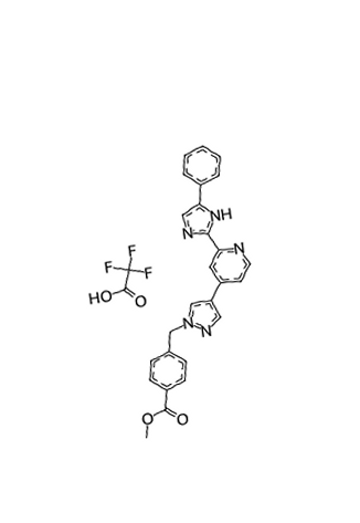 COC(=O)c1ccc(Cn2cc(-c3ccnc(-c4ncc(-c5ccccc5)[nH]4)c3)cn2)cc1.O=C(O)C(F)(F)F